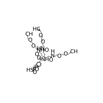 C#CCOCCOCCNC(=O)CCC(CCC(=O)NCCOCCOCC#C)(CCC(=O)NCCOCCOCC#C)NC(=O)c1ccc(OP(=O)(S)C(C)C)cc1